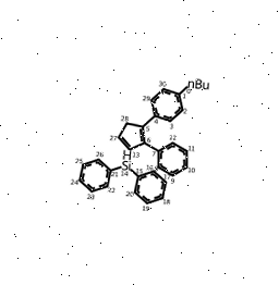 CCCCc1ccc(C2=C(c3ccccc3)C([SiH](c3ccccc3)c3ccccc3)=CC2)cc1